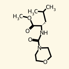 COC(=O)[C@H](CC(C)C)NC(=O)N1CCOCC1